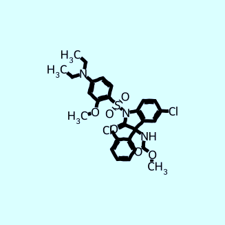 CCN(CC)c1ccc(S(=O)(=O)N2C(=O)C(NC(=O)OC)(c3ccccc3Cl)c3cc(Cl)ccc32)c(OC)c1